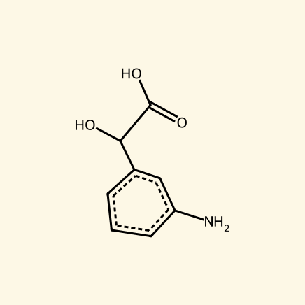 Nc1cccc(C(O)C(=O)O)c1